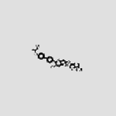 CC(CO)Oc1ccc(-c2ccc(-c3nc4cc(O[C@@H]5CO[C@H]6C5OC[C@H]6O)[nH]c4cc3Cl)cc2)cc1